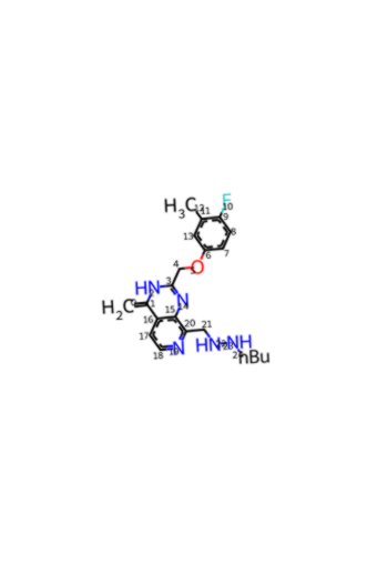 C=C1NC(COc2ccc(F)c(C)c2)=Nc2c1ccnc2CNNCCCC